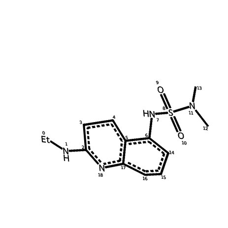 CCNc1ccc2c(NS(=O)(=O)N(C)C)cccc2n1